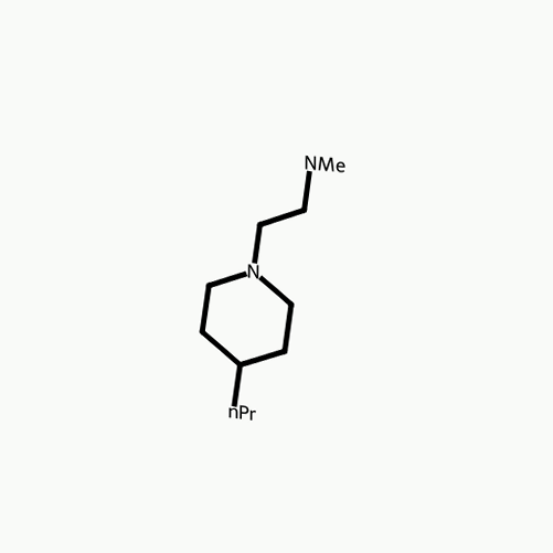 CCCC1CCN(CCNC)CC1